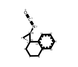 O=C=N[C@@H]1C[C@]12CCCc1ccccc12